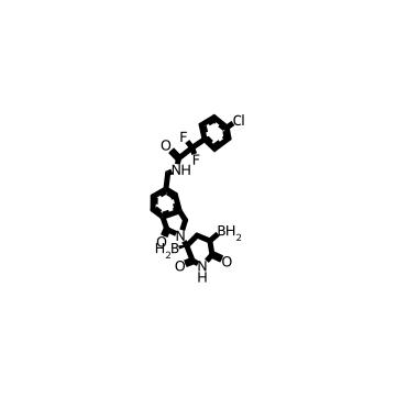 BC1C[C@@](B)(N2Cc3cc(CNC(=O)C(F)(F)c4ccc(Cl)cc4)ccc3C2=O)C(=O)NC1=O